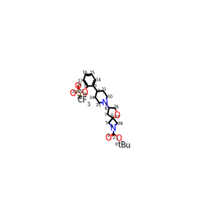 CC(C)(C)OC(=O)N1CC2(CC(N3CCC(c4ccccc4OS(=O)(=O)C(F)(F)F)CC3)CO2)C1